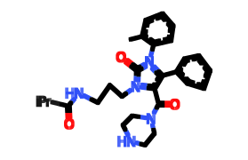 Cc1ccccc1-n1c(-c2ccccc2)c(C(=O)N2CCNCC2)n(CCCNC(=O)C(C)C)c1=O